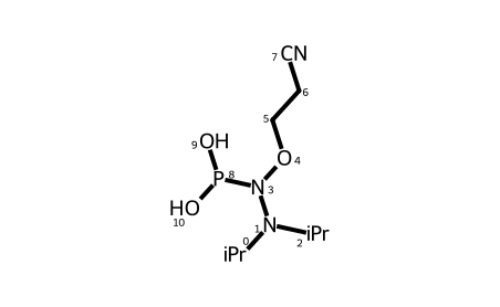 CC(C)N(C(C)C)N(OCCC#N)P(O)O